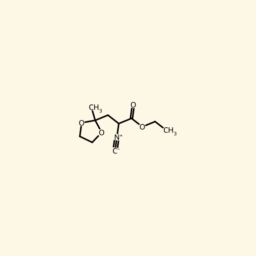 [C-]#[N+]C(CC1(C)OCCO1)C(=O)OCC